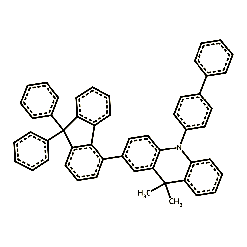 CC1(C)c2ccccc2N(c2ccc(-c3ccccc3)cc2)c2ccc(-c3cccc4c3-c3ccccc3C4(c3ccccc3)c3ccccc3)cc21